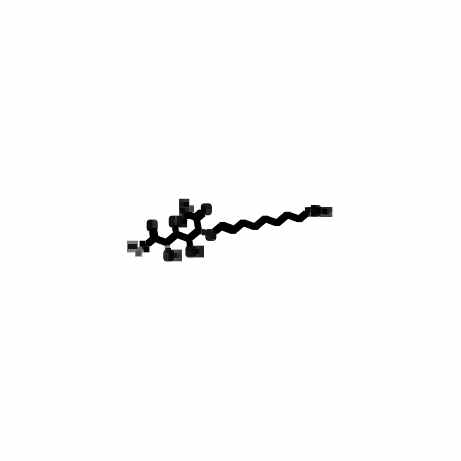 CCCCCCCCCCCCCCCC/C=C/O[C@@H](C(N)=O)[C@@H](O)[C@H](O)[C@H](O)C(N)=O